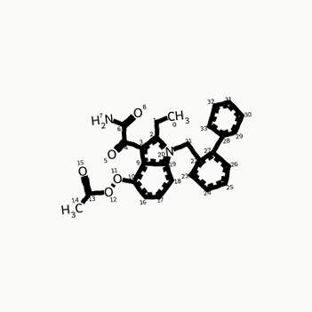 CCc1c(C(=O)C(N)=O)c2c(OOC(C)=O)cccc2n1Cc1ccccc1-c1ccccc1